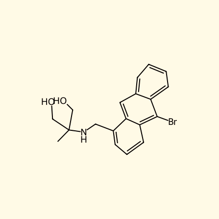 CC(CO)(CO)NCc1cccc2c(Br)c3ccccc3cc12